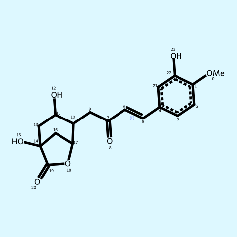 COc1ccc(/C=C/C(=O)CC2C(O)CC3(O)CC2OC3=O)cc1O